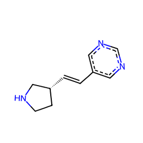 C(=C[C@@H]1CCNC1)c1cncnc1